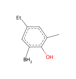 Bc1cc(CC)cc(C)c1O